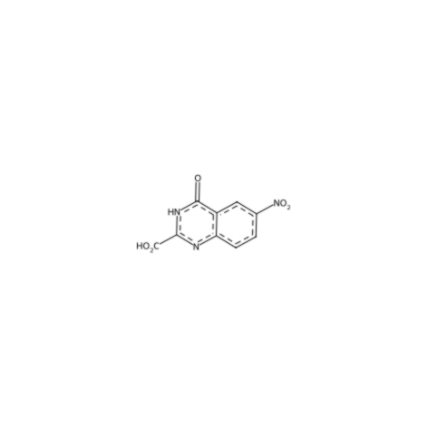 O=C(O)c1nc2ccc([N+](=O)[O-])cc2c(=O)[nH]1